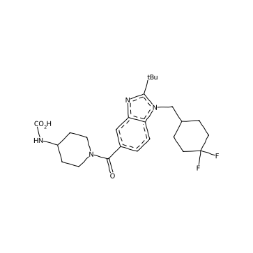 CC(C)(C)c1nc2cc(C(=O)N3CCC(NC(=O)O)CC3)ccc2n1CC1CCC(F)(F)CC1